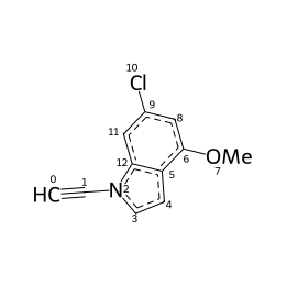 C#Cn1ccc2c(OC)cc(Cl)cc21